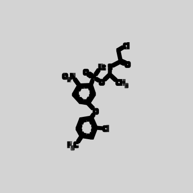 CCP(=O)(OC(C)SC(=O)CCl)c1cc(Oc2ccc(C(F)(F)F)cc2Cl)ccc1[N+](=O)[O-]